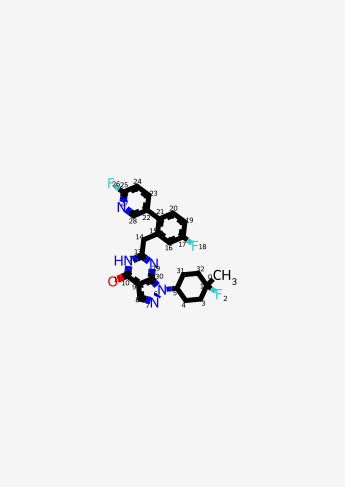 CC1(F)CCC(n2ncc3c(=O)[nH]c(Cc4cc(F)ccc4-c4ccc(F)nc4)nc32)CC1